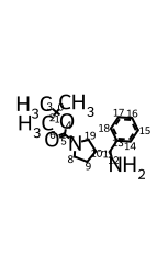 CC(C)(C)OC(=O)N1CC[C@@H](C(N)c2ccccc2)C1